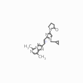 Cc1cnc(C)n2nc(/C=C/c3nc(N4CCCC4=O)cn3CC3CC3)nc12